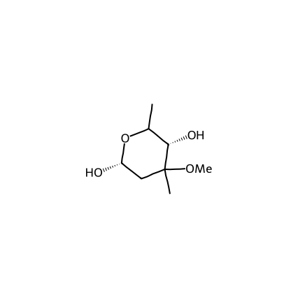 COC1(C)C[C@H](O)OC(C)[C@@H]1O